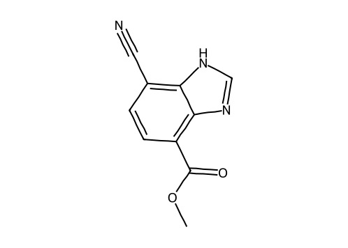 COC(=O)c1ccc(C#N)c2[nH]cnc12